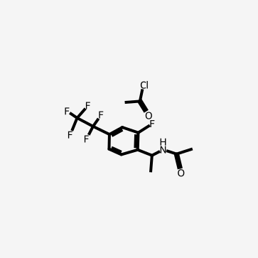 CC(=O)Cl.CC(=O)NC(C)c1ccc(C(F)(F)C(F)(F)F)cc1F